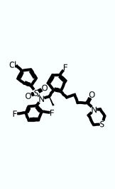 C[C@H](c1ccc(F)cc1CCCC(=O)N1CCSCC1)N(c1cc(F)ccc1F)S(=O)(=O)c1ccc(Cl)cc1